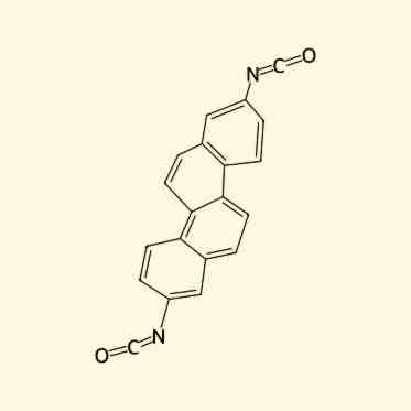 O=C=Nc1ccc2c(ccc3c4ccc(N=C=O)cc4ccc23)c1